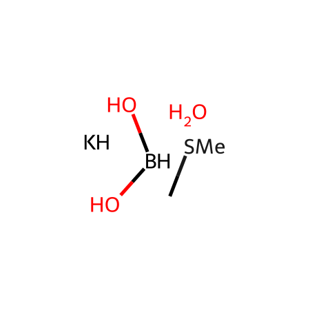 CSC.O.OBO.[KH]